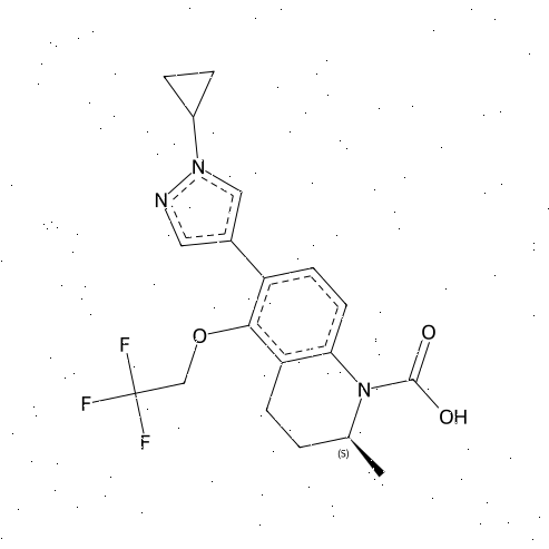 C[C@H]1CCc2c(ccc(-c3cnn(C4CC4)c3)c2OCC(F)(F)F)N1C(=O)O